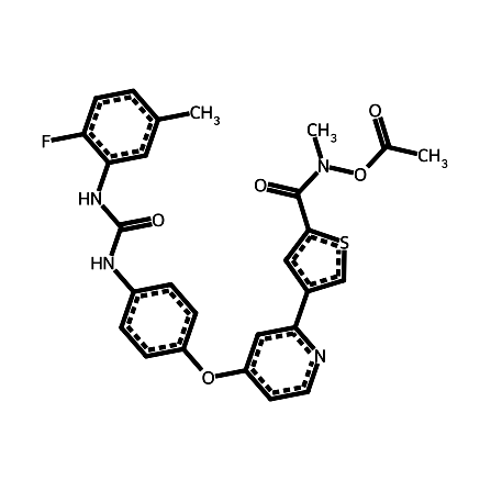 CC(=O)ON(C)C(=O)c1cc(-c2cc(Oc3ccc(NC(=O)Nc4cc(C)ccc4F)cc3)ccn2)cs1